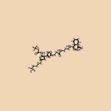 CC(C)(C)OC(=O)Nc1nn(COCC[Si](C)(C)C)cc1-c1noc(CCC(=O)NCCCNc2n[nH]c(=O)c3ccccc23)n1